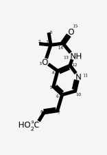 CC1(C)Oc2cc(C=CC(=O)O)cnc2NC1=O